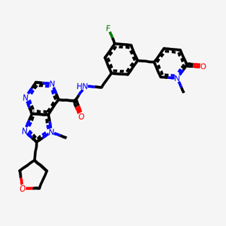 Cn1cc(-c2cc(F)cc(CNC(=O)c3ncnc4nc(C5CCOC5)n(C)c34)c2)ccc1=O